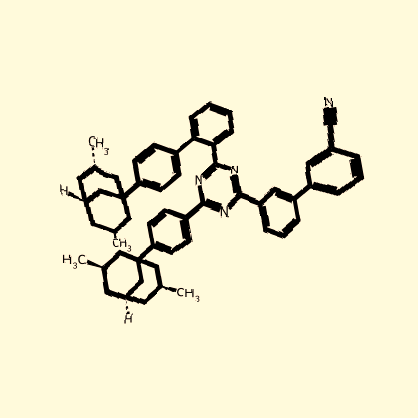 C[C@@H]1C[C@@H]2C[C@H](C)CC(c3ccc(-c4nc(-c5cccc(-c6cccc(C#N)c6)c5)nc(-c5ccccc5-c5ccc(C67C[C@H](C)C[C@H](C[C@H](C)C6)C7)cc5)n4)cc3)(C1)C2